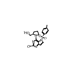 Cc1ccc(S(=O)(=O)n2ccc3nc(Cl)nc(N4CCCC4CO)c32)cc1